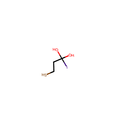 OC(O)(I)CCS